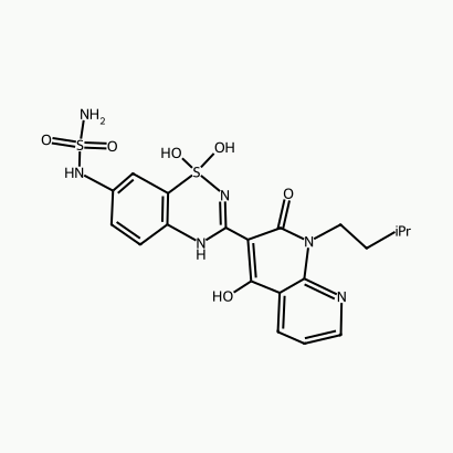 CC(C)CCn1c(=O)c(C2=NS(O)(O)c3cc(NS(N)(=O)=O)ccc3N2)c(O)c2cccnc21